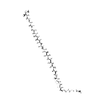 CCCCCCCC/C=C\CCCCCCCC(=O)OCCCCCCCCCCCCCCCCCCCCCCCCCCCCCCCCCCC(=O)O